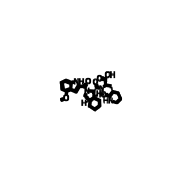 COc1cccc2[nH]c(C(=O)N3C[C@@H]4CCCC[C@@H]4[C@H]3C(=O)NC(C[C@@H]3CCCNC3=O)C(=O)O)cc12